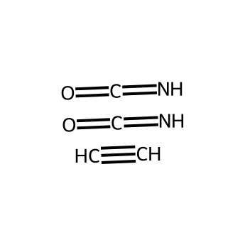 C#C.N=C=O.N=C=O